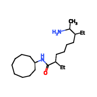 CCC(CCCCC(CC)C(C)N)C(=O)NC1CCCCCCCC1